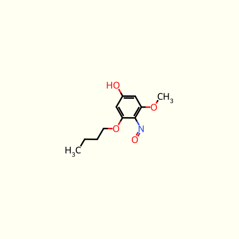 CCCCOc1cc(O)cc(OC)c1N=O